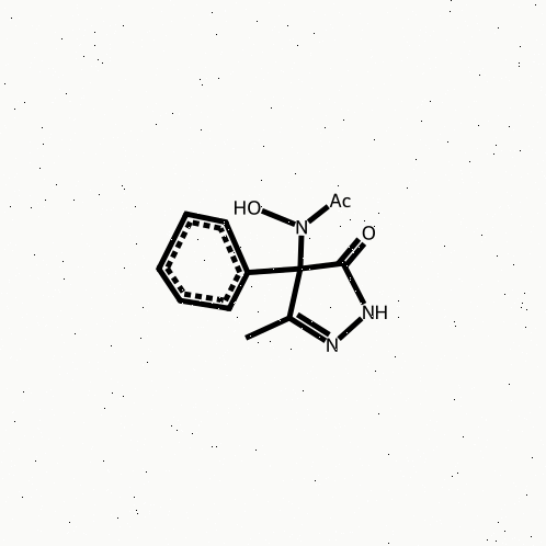 CC(=O)N(O)C1(c2ccccc2)C(=O)NN=C1C